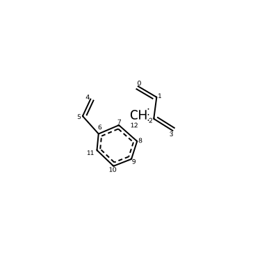 C=CC=C.C=Cc1ccccc1.[CH]